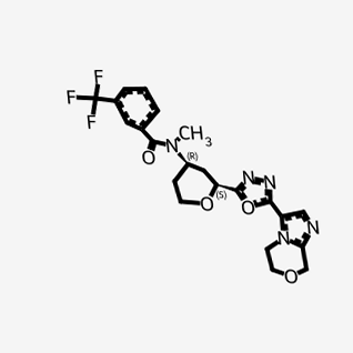 CN(C(=O)c1cccc(C(F)(F)F)c1)[C@@H]1CCO[C@H](c2nnc(-c3cnc4n3CCOC4)o2)C1